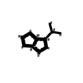 CN(C)n1cnn2cncc12